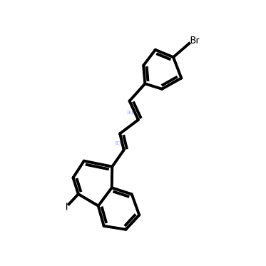 Brc1ccc(/C=C/C=C/c2ccc(I)c3ccccc23)cc1